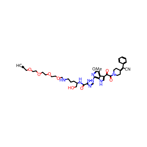 C#CCOCCOCCOCCOCNCCCC(CO)NC(=O)c1ncn(-c2ncc(OC)c3c(C(=O)C(=O)N4CCC(=C(C#N)c5ccccc5)CC4)c[nH]c23)n1